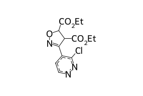 CCOC(=O)C1ON=C(c2ccnnc2Cl)C1C(=O)OCC